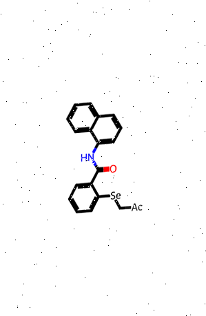 CC(=O)C[Se]c1ccccc1C(=O)Nc1cccc2ccccc12